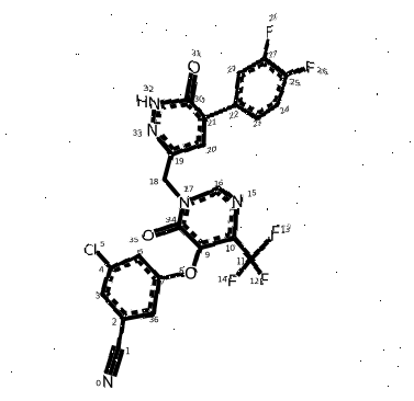 N#Cc1cc(Cl)cc(Oc2c(C(F)(F)F)ncn(Cc3cc(-c4ccc(F)c(F)c4)c(=O)[nH]n3)c2=O)c1